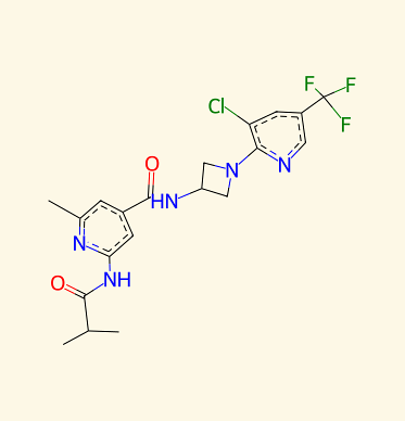 Cc1cc(C(=O)NC2CN(c3ncc(C(F)(F)F)cc3Cl)C2)cc(NC(=O)C(C)C)n1